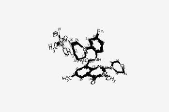 Cc1cc([C@@H](C)Nc2ccc(F)cc2N2CCC[C@H](O[Si](C)(C)C(C)(C)C)C2)c2nc(N3CCOCC3)n(C)c(=O)c2c1